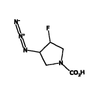 [N-]=[N+]=NC1CN(C(=O)O)CC1F